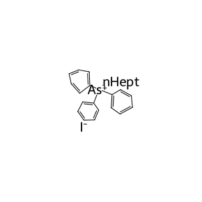 CCCCCCC[As+](c1ccccc1)(c1ccccc1)c1ccccc1.[I-]